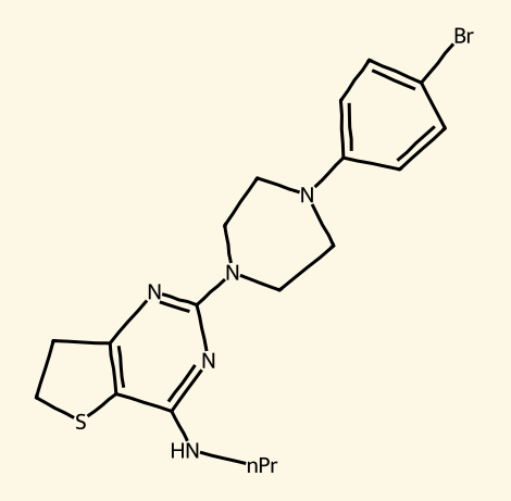 CCCNc1nc(N2CCN(c3ccc(Br)cc3)CC2)nc2c1SCC2